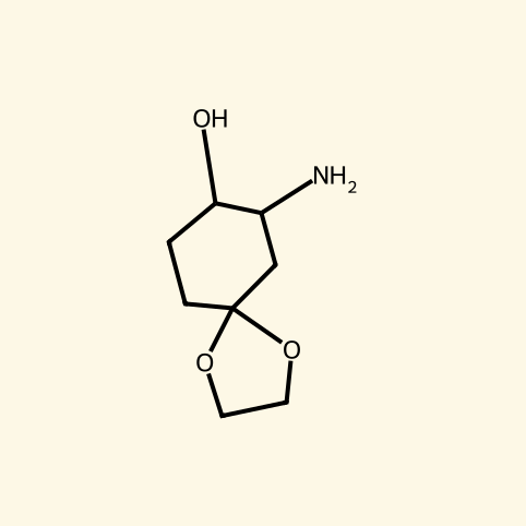 NC1CC2(CCC1O)OCCO2